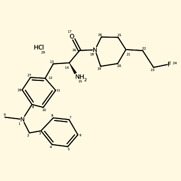 CN(Cc1ccccc1)c1ccc(C[C@H](N)C(=O)N2CCC(CCF)CC2)cc1.Cl